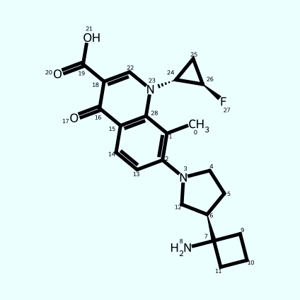 Cc1c(N2CC[C@@H](C3(N)CCC3)C2)ccc2c(=O)c(C(=O)O)cn([C@@H]3C[C@H]3F)c12